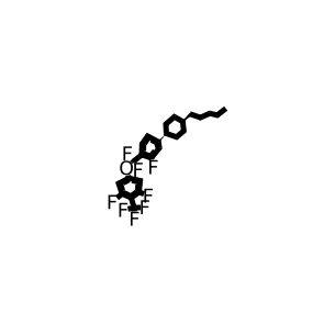 CCCCC[C@H]1CC[C@H](c2ccc(C(F)(F)Oc3cc(F)c(C(F)(F)F)c(F)c3)c(F)c2)CC1